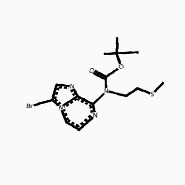 CSCCN(C(=O)OC(C)(C)C)c1nccn2c(Br)cnc12